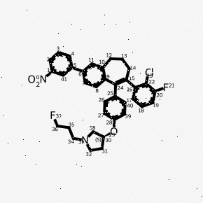 O=[N+]([O-])c1cccc(-c2ccc3c(c2)CCCC(c2cccc(F)c2Cl)=C3c2ccc(O[C@H]3CCN(CCCF)C3)cc2)c1